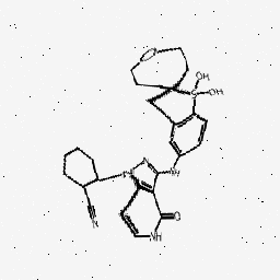 N#CC1CCCCC1n1nc(Nc2ccc3c(c2)CC2(CCOCC2)S3(O)O)c2c(=O)[nH]ccc21